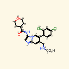 O=C(O)NCc1cc2ncc(NC(=O)C3CCOCC3)n2cc1-c1ccc(Cl)cc1Cl